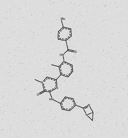 Cc1c(NC(=O)c2ccc(C(C)(C)C)cc2)cccc1-c1cn(C)c(=O)c(Nc2ccc(C3=NC4CN34)cc2)n1